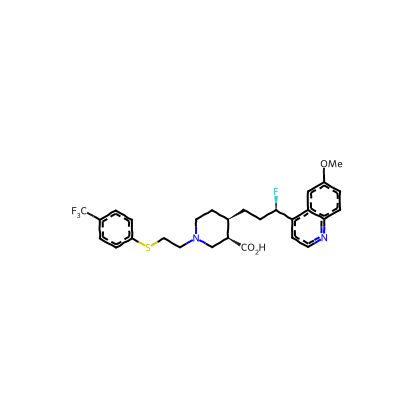 COc1ccc2nccc([C@H](F)CC[C@@H]3CCN(CCSc4ccc(C(F)(F)F)cc4)C[C@@H]3C(=O)O)c2c1